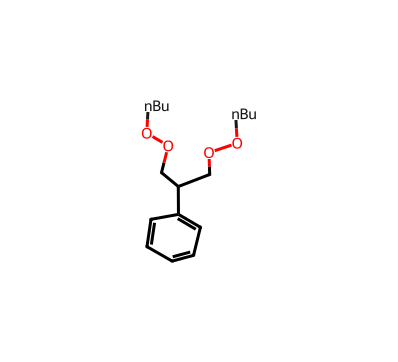 CCCCOOCC(COOCCCC)c1ccccc1